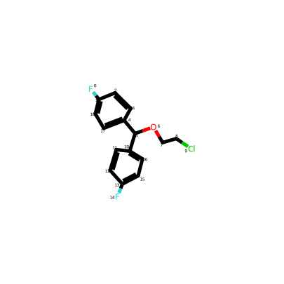 Fc1ccc(C(OCCCl)c2ccc(F)cc2)cc1